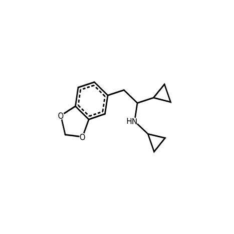 c1cc2c(cc1CC(NC1CC1)C1CC1)OCO2